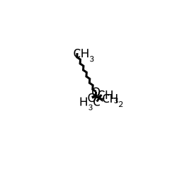 C=CC(C)(C)C(=O)OCCCCCCCCCCCC